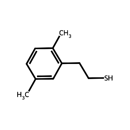 Cc1ccc(C)c(CCS)c1